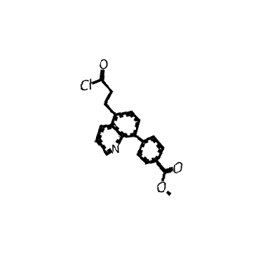 COC(=O)c1ccc(-c2ccc(CCC(=O)Cl)c3cccnc23)cc1